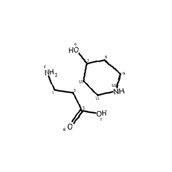 NCCC(=O)O.OC1CCNCC1